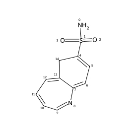 NS(=O)(=O)C1=CC=C2N=CC=CC=C2C1